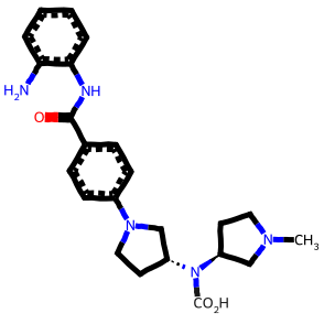 CN1CC[C@H](N(C(=O)O)[C@@H]2CCN(c3ccc(C(=O)Nc4ccccc4N)cc3)C2)C1